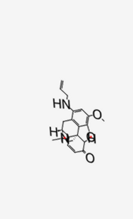 C=CCNc1cc(OC)c2c3c1C[C@@H]1[C@@H]4C=CC(=O)[C@H](O2)[C@]34CCN1C